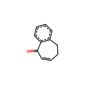 O=C1C=CCCc2ccccc21